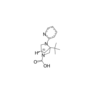 CC(C)(C)C12C[C@@H](CN1c1ccccn1)N(C(=O)O)C2